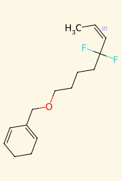 C/C=C\C(F)(F)CCCCOCC1=CCCC=C1